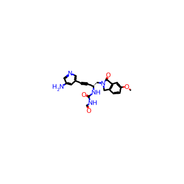 COc1ccc2c(c1)C(=O)N(C[C@@H](C#Cc1cncc(N)c1)NC(=O)NC=O)C2